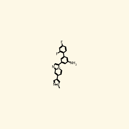 Cn1cc(-c2ccn3c(-c4cc(N)cc(-c5ccc(F)cc5F)c4)cnc3c2)cn1